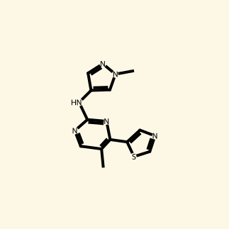 Cc1cnc(Nc2cnn(C)c2)nc1-c1cncs1